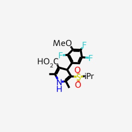 COc1c(F)c(F)cc(C2C(C(=O)O)=C(C)NC(C)=C2S(=O)(=O)C(C)C)c1F